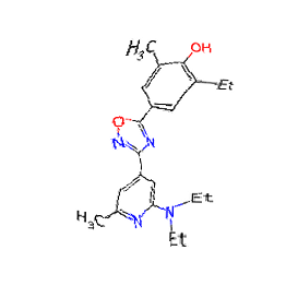 CCc1cc(-c2nc(-c3cc(C)nc(N(CC)CC)c3)no2)cc(C)c1O